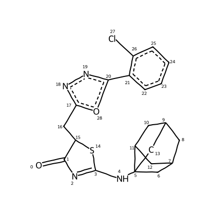 O=C1N=C(NC23CC4CC(CC2C4)C3)SC1Cc1nnc(-c2ccccc2Cl)o1